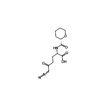 [N-]=[N+]=CC(=O)CCC(NC(=O)[C@@H]1CCCCO1)C(=O)O